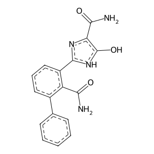 NC(=O)c1nc(-c2cccc(-c3ccccc3)c2C(N)=O)[nH]c1O